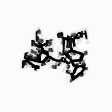 C[C@@H](OC[C@@]1(c2ccccc2)CC[C@@]2(CO)CN1CC(=O)N2)c1cc(C(F)(F)F)cc(C(F)(F)F)c1